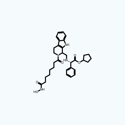 O=C(CCCCCCC(=O)N1CCc2c([nH]c3ccccc23)C1CN[C@H](C(=O)OC1CCCC1)c1ccccc1)NO